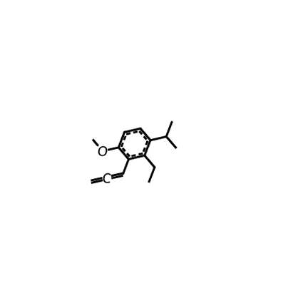 C=C=Cc1c(OC)ccc(C(C)C)c1CC